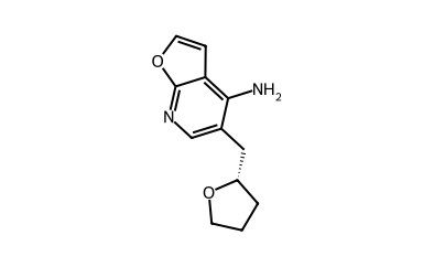 Nc1c(C[C@@H]2CCCO2)cnc2occc12